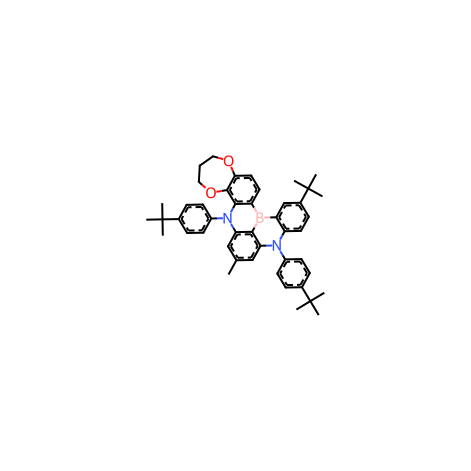 Cc1cc2c3c(c1)N(c1ccc(C(C)(C)C)cc1)c1c(ccc4c1OCCCO4)B3c1cc(C(C)(C)C)ccc1N2c1ccc(C(C)(C)C)cc1